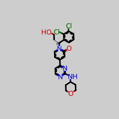 O=c1cc(-c2ccnc(NC3CCOCC3)n2)ccn1[C@H](CCO)c1cccc(Cl)c1Cl